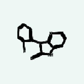 O=c1[nH]c2cccnc2n1-c1ccccc1F